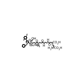 Cc1ccc(F)cc1-c1cc(C(N(CC[C@H](N)C(=O)NCCC(=O)NCCNC(=O)CC(SC[C@H](N)C(=O)O)C(=O)O)C(=O)CO)C(C)(C)C)n(Cc2ccccc2)c1